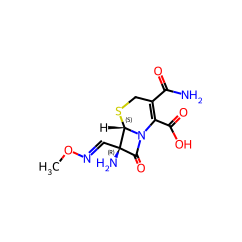 CON=C[C@@]1(N)C(=O)N2C(C(=O)O)=C(C(N)=O)CS[C@H]21